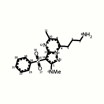 CNc1nn2c(CCCN)cc(C)nc2c1S(=O)(=O)c1ccccc1